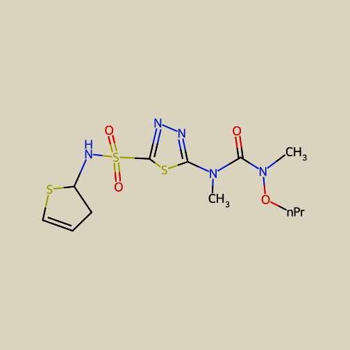 CCCON(C)C(=O)N(C)c1nnc(S(=O)(=O)NC2CC=CS2)s1